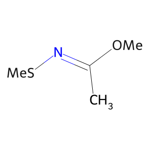 CO/C(C)=N/SC